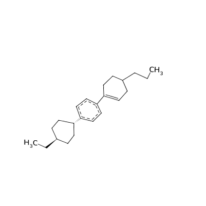 CCCC1CC=C(c2ccc([C@H]3CC[C@H](CC)CC3)cc2)CC1